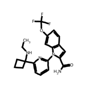 CCNC1(c2cccc(-n3c(C(N)=O)cc4ccc(OC(F)(F)F)cc43)n2)CCC1